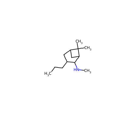 CCCC1CC2CC(C1NC)C2(C)C